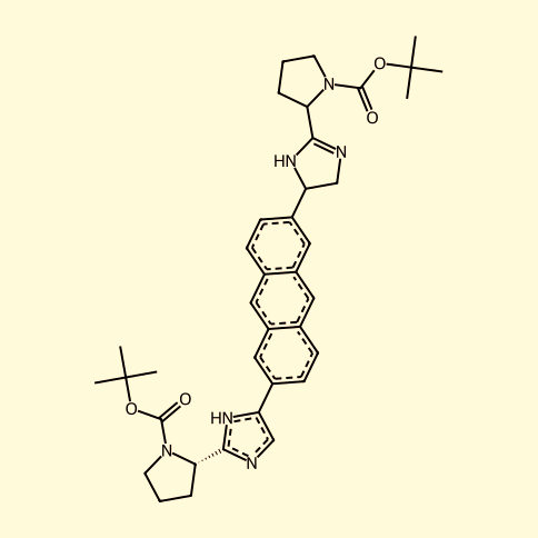 CC(C)(C)OC(=O)N1CCCC1C1=NCC(c2ccc3cc4cc(-c5cnc([C@@H]6CCCN6C(=O)OC(C)(C)C)[nH]5)ccc4cc3c2)N1